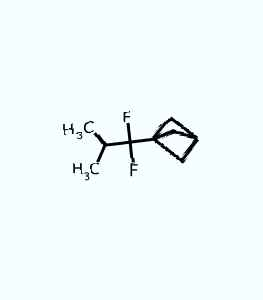 CC(C)C(F)(F)C12CC(C1)C2